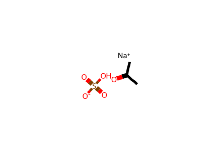 CC(C)=O.O=S(=O)([O-])O.[Na+]